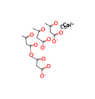 CC(=O)CC(=O)[O-].CC(=O)CC(=O)[O-].CC(=O)CC(=O)[O-].CC(=O)CC(=O)[O-].[Co+2].[Co+2]